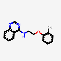 CCCc1ccccc1OCCNc1ncnc2ccccc12